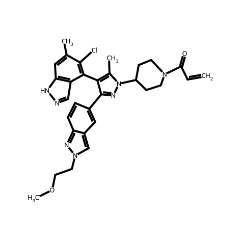 C=CC(=O)N1CCC(n2nc(-c3ccc4nn(CCOC)cc4c3)c(-c3c(Cl)c(C)cc4[nH]ncc34)c2C)CC1